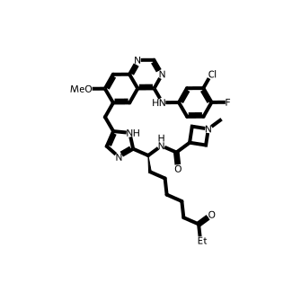 CCC(=O)CCCCC[C@H](NC(=O)C1CN(C)C1)c1ncc(Cc2cc3c(Nc4ccc(F)c(Cl)c4)ncnc3cc2OC)[nH]1